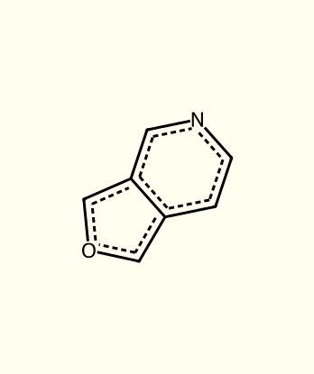 c1cc2cocc2cn1